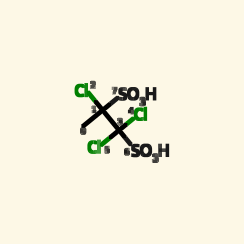 CC(Cl)(C(Cl)(Cl)S(=O)(=O)O)S(=O)(=O)O